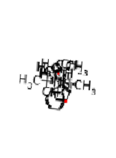 C[SiH](c1ccccc1)[Ti]([CH3])([CH3])([CH3])([CH3])([CH3])([CH3])([NH]C(C)(C)C)[C]1=CC=CC1